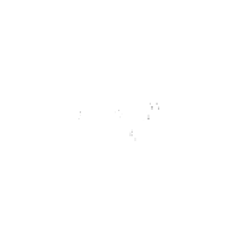 CC(C)OC(=O)OCCF